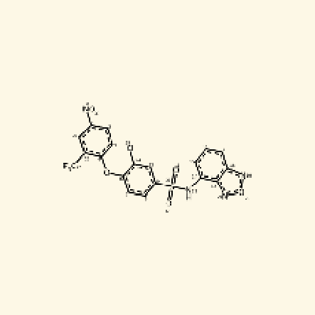 O=[N+]([O-])c1ccc(Oc2ccc(S(=O)(=O)Nc3cccc4nonc34)cc2Cl)c(C(F)(F)F)c1